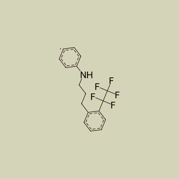 FC(F)(F)C(F)(F)c1ccccc1CCCNc1cc[c]cc1